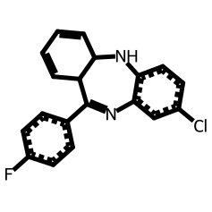 Fc1ccc(C2=Nc3cc(Cl)ccc3NC3C=CC=CC23)cc1